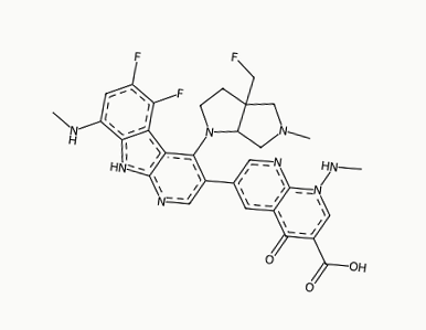 CNc1cc(F)c(F)c2c1[nH]c1ncc(-c3cnc4c(c3)c(=O)c(C(=O)O)cn4NC)c(N3CCC4(CF)CN(C)CC34)c12